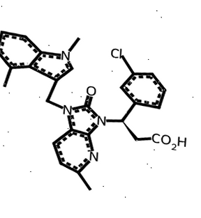 Cc1ccc2c(n1)n([C@H](CC(=O)O)c1cccc(Cl)c1)c(=O)n2Cc1cn(C)c2cccc(C)c12